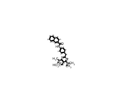 CN(C)c1nc(Cc2ccc(NC(=O)c3ccc4ccccc4c3)cc2)nc(N(C)C)c1CC(=O)O